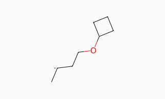 C[CH]CCOC1CCC1